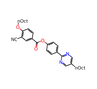 CCCCCCCCOc1ccc(C(=O)Oc2ccc(-c3ncc(CCCCCCCC)cn3)cc2)cc1C#N